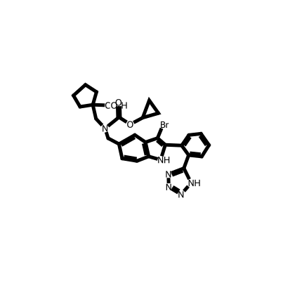 O=C(OC1CC1)N(Cc1ccc2[nH]c(-c3ccccc3-c3nnn[nH]3)c(Br)c2c1)CC1(C(=O)O)CCCC1